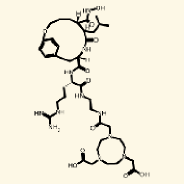 CC(C)C[C@H]1C(=O)N[C@H](C(=O)N[C@@H](CCCNC(=N)N)C(=O)NCCNC(=O)CN2CCN(CC(=O)O)CCN(CC(=O)O)CC2)Cc2ccc(cc2)OCCC[C@@H]1C(=O)NO